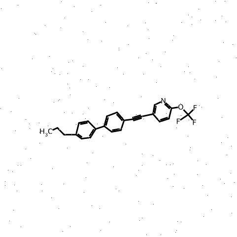 CCCc1ccc(-c2ccc(C#Cc3ccc(OC(F)(F)F)nc3)cc2)cc1